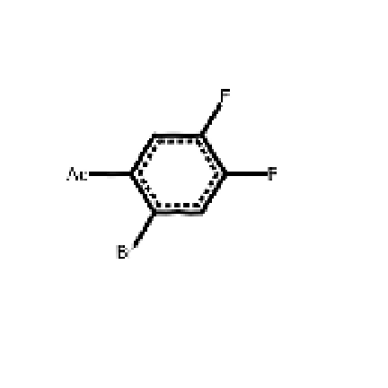 CC(=O)c1cc(F)c(F)cc1Br